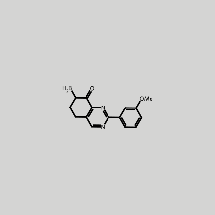 BC1CCc2cnc(-c3cccc(OC)c3)nc2C1=O